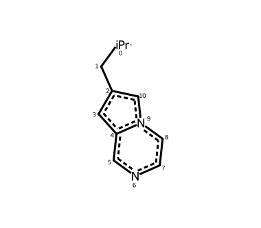 C[C](C)Cc1cc2cnccn2c1